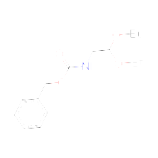 CCOC(CNC(=O)OCc1ccccc1)OCC